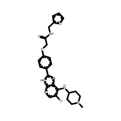 CN1CCC(Nc2c(Cl)cnc3[nH]c(-c4ccc(OCC(=O)NCc5ccco5)cc4)nc23)CC1